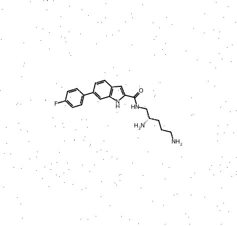 NCCC[C@H](N)CNC(=O)c1cc2ccc(-c3ccc(F)cc3)cc2[nH]1